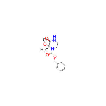 COC1(C)C(=O)NCCN1C(=O)OCc1ccccc1